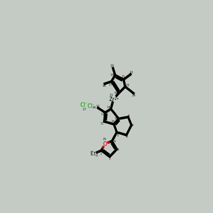 CCc1ccc(C2CCCC3=C2C=C(C)[CH]3[Zr+2][C]2=C(C)C(C)=C(C)C2C)o1.[Cl-].[Cl-]